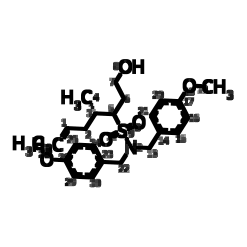 C=CC[C@H](C)C(CCO)S(=O)(=O)N(Cc1ccc(OC)cc1)Cc1ccc(OC)cc1